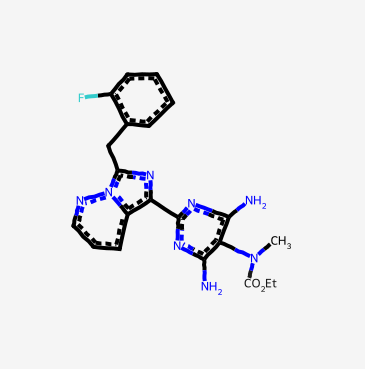 CCOC(=O)N(C)c1c(N)nc(-c2nc(Cc3ccccc3F)n3ncccc23)nc1N